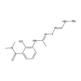 C/C(=N\S/N=C/NC(C)(C)C)Nc1cccc(C(=O)N(C)C)c1O